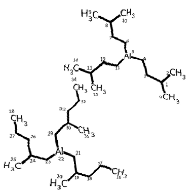 CC(C)C[CH2][Al]([CH2]CC(C)C)[CH2]CC(C)C.CCCC(C)[CH2][Al]([CH2]C(C)CCC)[CH2]C(C)CCC